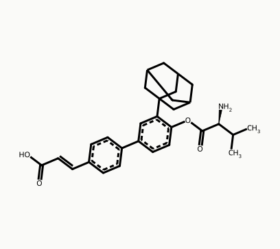 CC(C)[C@H](N)C(=O)Oc1ccc(-c2ccc(C=CC(=O)O)cc2)cc1C12CC3CC(CC(C3)C1)C2